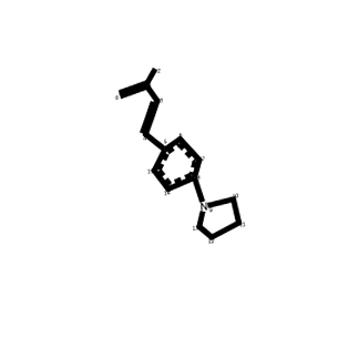 C=C(C)/C=C/c1ccc(N2CCCC2)cc1